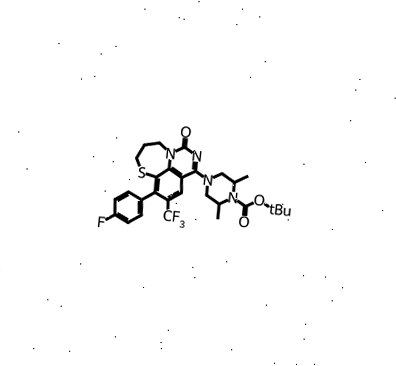 CC1CN(c2nc(=O)n3c4c(c(-c5ccc(F)cc5)c(C(F)(F)F)cc24)SCCC3)CC(C)N1C(=O)OC(C)(C)C